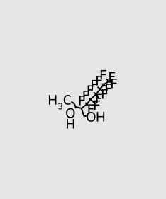 CCC(O)C(CO)C(F)(F)C(F)(F)C(F)(F)C(F)(F)C(F)(F)C(F)(F)F